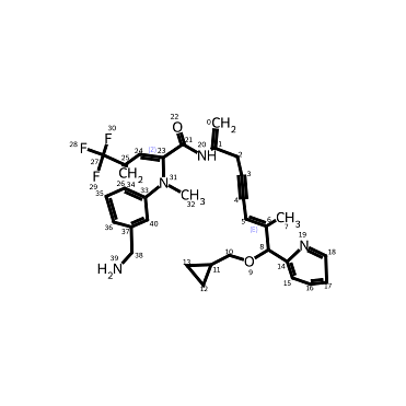 C=C(CC#C/C=C(\C)C(OCC1CC1)c1ccccn1)NC(=O)/C(=C/C(=C)C(F)(F)F)N(C)c1cccc(CN)c1